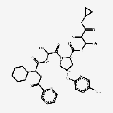 CCCC(NC(=O)[C@H]1C[C@H](Oc2ccc(C(F)(F)F)cn2)CN1C(=O)C(NC(=O)C(NC(=O)c1cnccn1)C1CCCCC1)C(C)(C)C)C(=O)C(=O)NC1CC1